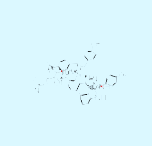 COc1ccc(CN(Cc2ccc(OC)cc2)S(=O)(=O)c2c(S(=O)(=O)NC(C(O)COC(N)=O)C(C)(C)C)ccc(-c3cccc4[nH]c(N)nc34)c2-c2nnn(Cc3ccc(OC)cc3)n2)cc1